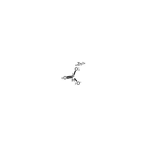 O=[PH]([O-])[O-].[Zn+2]